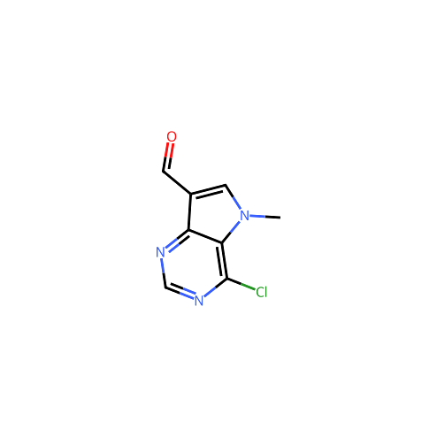 Cn1cc(C=O)c2ncnc(Cl)c21